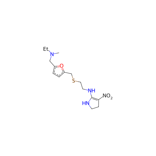 CCN(C)Cc1ccc(CSCCNC2=C([N+](=O)[O-])CCN2)o1